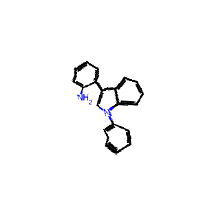 Nc1ccccc1-c1cn(-c2ccccc2)c2ccccc12